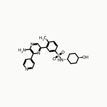 Cc1ccc(S(=O)(=O)N[C@H]2CC[C@H](O)CC2)cc1-c1cnc(N)c(-c2ccncc2)n1